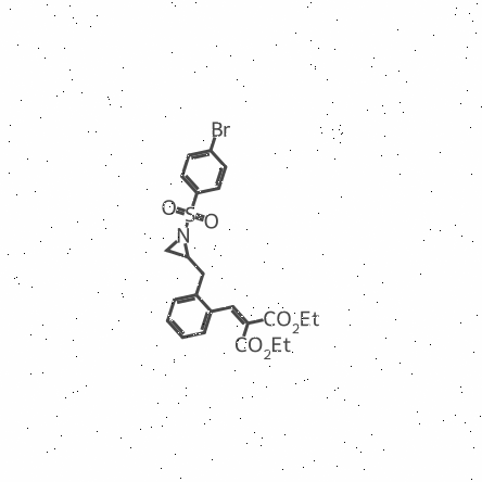 CCOC(=O)C(=Cc1ccccc1CC1CN1S(=O)(=O)c1ccc(Br)cc1)C(=O)OCC